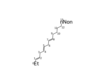 CCC=CCC=CCC=CCCCCCCCCCCCCC